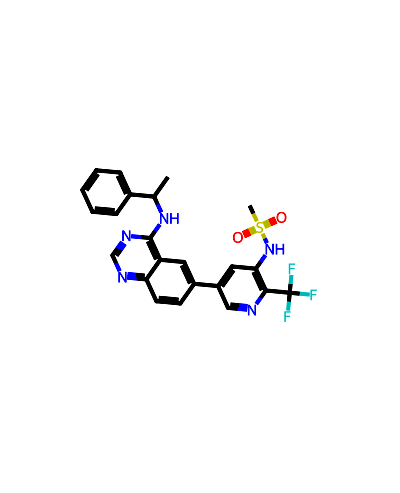 CC(Nc1ncnc2ccc(-c3cnc(C(F)(F)F)c(NS(C)(=O)=O)c3)cc12)c1ccccc1